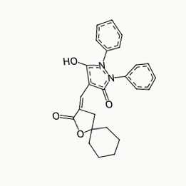 O=C1OC2(CCCCC2)CC1=Cc1c(O)n(-c2ccccc2)n(-c2ccccc2)c1=O